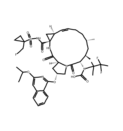 CC(C)Oc1cc2ccccc2c(O[C@@H]2C[C@H]3C(=O)N[C@]4(C(=O)NS(=O)(=O)C5(CF)CC5)C[C@H]4C=CCC[C@H](C)C[C@@H](C)[C@H](N(C(=O)O)C(C)(C)C(C)(F)F)C(=O)N3C2)n1